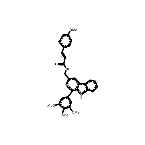 COc1ccc(/C=C/C(=O)NCc2cc3c([nH]c4ccccc43)c(-c3cc(OC)c(OC)c(OC)c3)n2)cc1